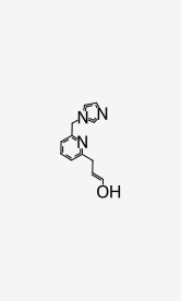 OC=CCc1cccc(Cn2ccnc2)n1